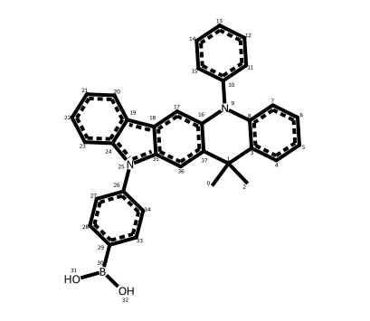 CC1(C)c2ccccc2N(c2ccccc2)c2cc3c4ccccc4n(-c4ccc(B(O)O)cc4)c3cc21